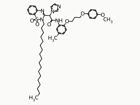 CCCCCCCCCCCCCCCCCCN1C(C(C(=O)Nc2cc(C)ccc2OCCCOc2ccc(OC)cc2)n2ccnc2)=Nc2ccccc2S1(=O)=O